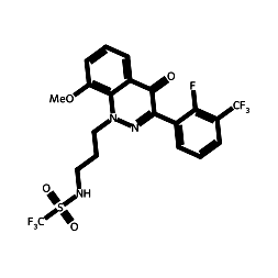 COc1cccc2c(=O)c(-c3cccc(C(F)(F)F)c3F)nn(CCCNS(=O)(=O)C(F)(F)F)c12